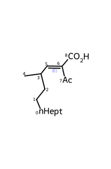 CCCCCCCCCC(C)/C=C(\C(C)=O)C(=O)O